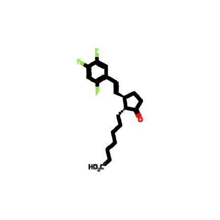 O=C(O)CCCCCC[C@H]1C(=O)CC[C@@H]1C=Cc1cc(F)c(F)cc1F